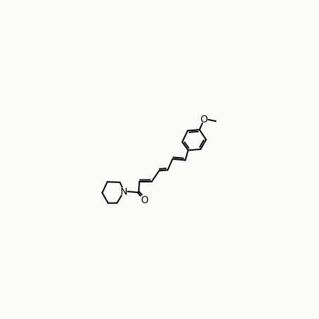 COc1ccc(/C=C/C=C/C=C/C(=O)N2CCCCC2)cc1